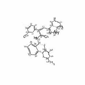 CN1CCN(C[C@@H](NC(=O)C(=Cc2n[nH]c3ncccc23)c2cccc(Cl)c2)c2ccccc2)CC1